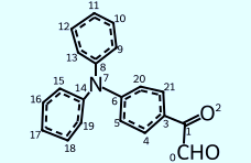 O=CC(=O)c1ccc(N(c2ccccc2)c2ccccc2)cc1